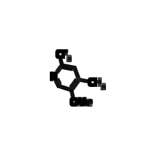 COc1cnc(C(F)(F)F)cc1C